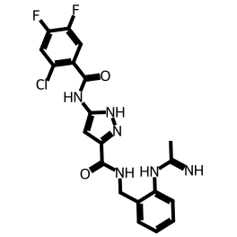 CC(=N)Nc1ccccc1CNC(=O)c1cc(NC(=O)c2cc(F)c(F)cc2Cl)[nH]n1